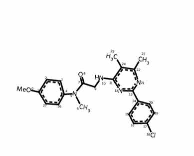 COc1ccc(N(C)C(=O)CNc2nc(-c3ccc(Cl)cc3)nc(C)c2C)cc1